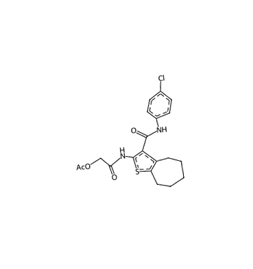 CC(=O)OCC(=O)Nc1sc2c(c1C(=O)Nc1ccc(Cl)cc1)CCCCC2